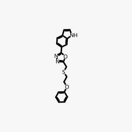 c1ccc(OCCSCc2nnc(-c3ccc4cc[nH]c4c3)o2)cc1